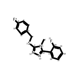 Cn1c(SCc2ccc(F)cc2)nnc1-c1ccccc1F